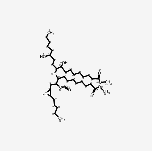 CCCCCC(O)CCC(OC(CCCCCCCC(=O)OC)C(CC1OC1CCCCC)OC=O)C(O)CCCCCCCC(=O)OC